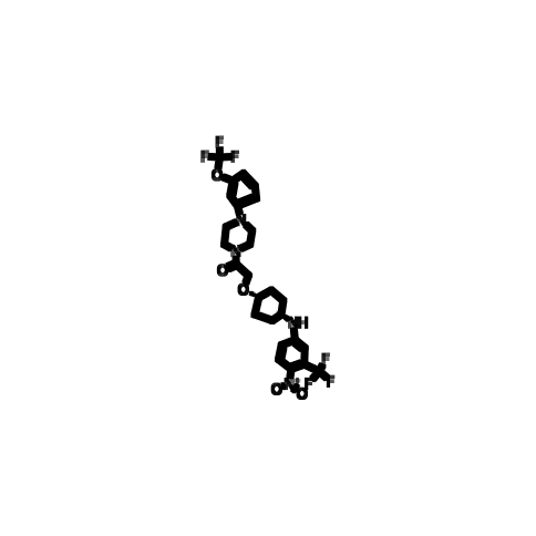 O=C(CO[C@H]1CC[C@H](Nc2ccc([N+](=O)[O-])c(C(F)(F)F)c2)CC1)N1CCN(c2cccc(OC(F)(F)F)c2)CC1